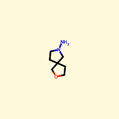 NN1CCC2(CCOC2)C1